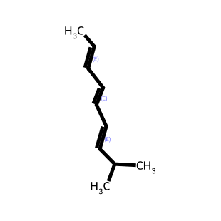 C/C=C/C=C/C=C/C(C)C